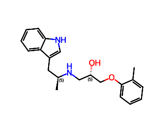 Cc1ccccc1OC[C@@H](O)CN[C@@H](C)Cc1c[nH]c2ccccc12